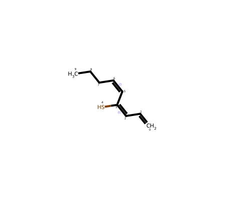 C=C/C=C(S)\C=C/CCC